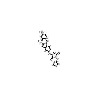 O=C1S/C(=C\c2ccc3c(cnn3Cc3ccc(Cl)cc3C(F)(F)F)c2)C(=O)N1Cc1cscn1